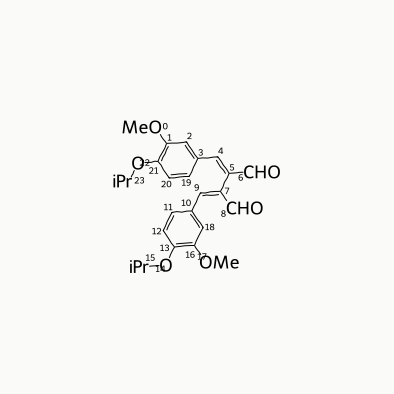 COc1cc(C=C(C=O)C(C=O)=Cc2ccc(OC(C)C)c(OC)c2)ccc1OC(C)C